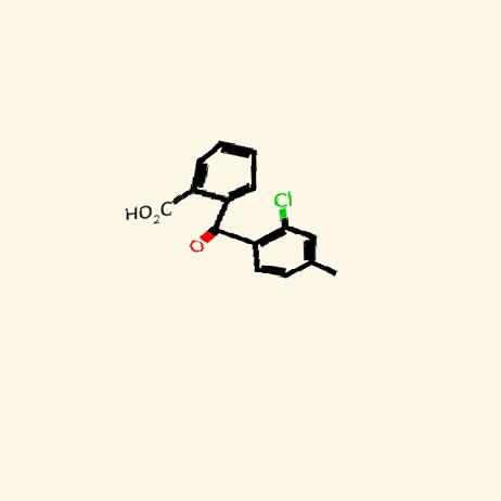 Cc1ccc(C(=O)c2ccccc2C(=O)O)c(Cl)c1